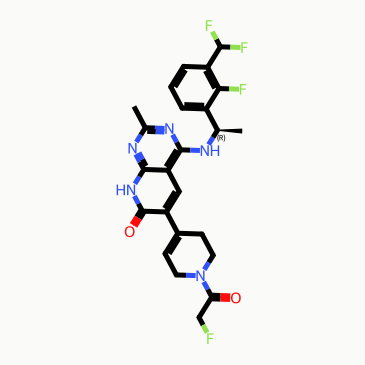 Cc1nc(N[C@H](C)c2cccc(C(F)F)c2F)c2cc(C3=CCN(C(=O)CF)CC3)c(=O)[nH]c2n1